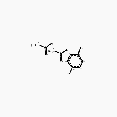 C=C(C)C(=O)O.C=C(C)C(=O)O.Cc1ccc(C)cc1